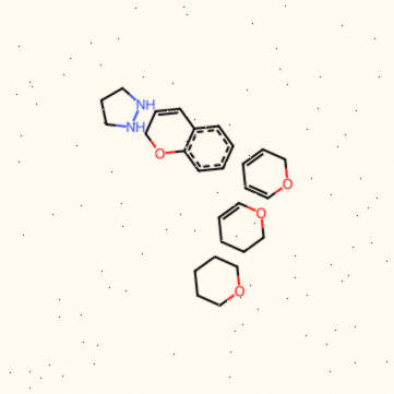 C1=CCOC=C1.C1=COCCC1.C1=Cc2ccccc2OC1.C1CCOCC1.C1CNNC1